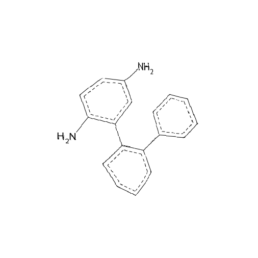 Nc1ccc(N)c(-c2ccccc2-c2ccccc2)c1